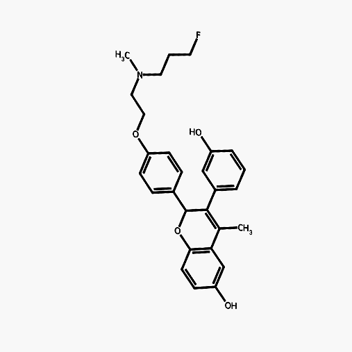 CC1=C(c2cccc(O)c2)C(c2ccc(OCCN(C)CCCF)cc2)Oc2ccc(O)cc21